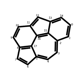 c1cc2ccc3ccc4ccc5cc(c1)c2c5c34